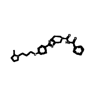 CC1CCCN1CCCOc1ccc(-c2nc3c(s2)CN(C(=O)NC(=O)c2ccccc2)CC3)cc1